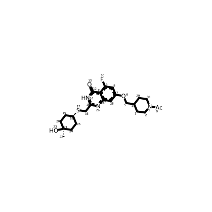 CC(=O)N1CCC(COc2cc(F)c3c(=O)[nH]c(CS[C@H]4CC[C@](C)(O)CC4)nc3c2)CC1